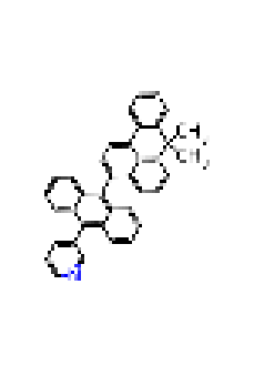 CC1(C)c2ccccc2-c2ccc(-c3c4ccccc4c(-c4cccnc4)c4ccccc34)c3cccc1c23